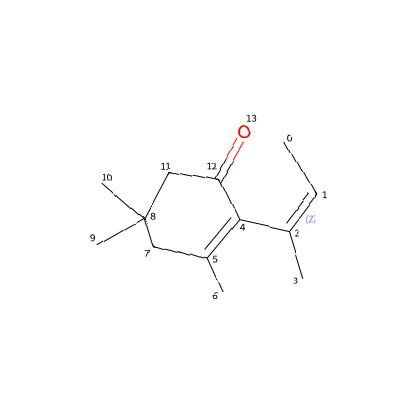 C/C=C(/C)C1=C(C)CC(C)(C)CC1=O